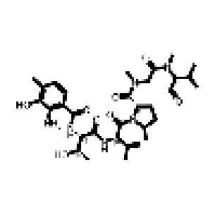 C=C(C)[C@@H](NC(=O)[C@@H](NC(=O)c1ccc(C)c(O)c1N)[C@@H](C)O)C(=O)N1C(C)CC[C@H]1C(=O)N(C)CC(=O)N(C)[C@H](C=O)C(C)C